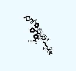 COC(=O)[C@H](CCCCNC(=O)OC(C)(C)C)NC(=O)N1C(=O)/C(=C(\Nc2ccc(N(C)C(=O)CN3CCN(C)CC3)cc2)c2ccccc2)c2ccc(C(=O)O)cc21